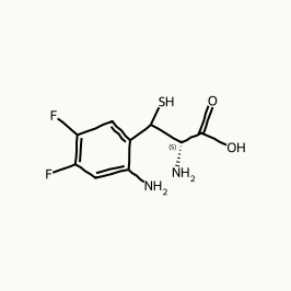 Nc1cc(F)c(F)cc1C(S)[C@@H](N)C(=O)O